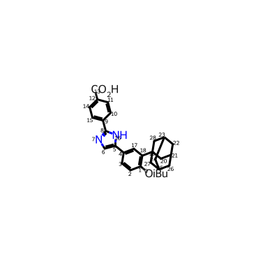 CC(C)COc1ccc(-c2cnc(-c3ccc(C(=O)O)cc3)[nH]2)cc1C12CC3CC(CC(C3)C1)C2